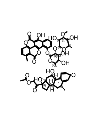 CC(=O)OCC(=O)[C@@]1(O)CC[C@H]2[C@@H]3C[C@H](C)C4=CC(=O)C=C[C@]4(C)[C@H]3[C@@H](O)C[C@@]21C.CO[C@H]1[C@@H](O)[C@@H](C)O[C@H](O[C@H]2[C@H](Oc3cccc4c(O)c5c(=O)oc6ccc(C)c7c(=O)oc(c34)c5c67)O[C@H](C)[C@H](O)[C@@H]2O)[C@@H]1O